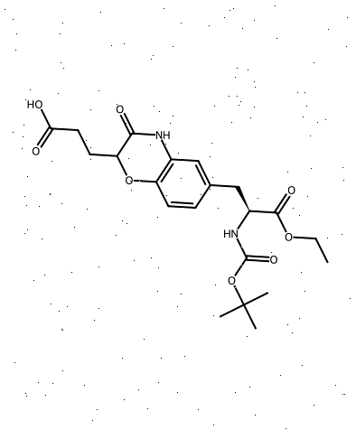 CCOC(=O)[C@H](Cc1ccc2c(c1)NC(=O)C(CCC(=O)O)O2)NC(=O)OC(C)(C)C